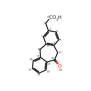 O=C(O)Cc1ccc2c(c1)Cc1ccccc1C(=O)C2